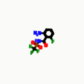 Nc1cccc(F)c1C(=O)NS(=O)(=O)C(F)(F)F